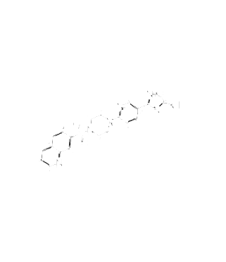 O=S(=O)(c1ccc2cccnc2c1)N1CCN(c2ccc(-c3noc(C(F)(F)F)n3)cn2)CC1